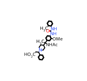 COc1cc(C(C)(NC(C)=O)C2CCN(C(CC(=O)O)c3ccccc3)CC2)ccc1NC(=O)Nc1ccccc1C